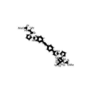 [2H]C([2H])([2H])C([2H])(C([2H])([2H])[2H])[C@@]([2H])(NC(=O)OC)C(=O)N1CCC[C@H]1c1ncc(-c2ccc(C#Cc3ccc4nc([C@@H]5CCCN5C(=O)[C@@H](NC(=O)OC)C(C)C)[nH]c4c3)cc2)[nH]1